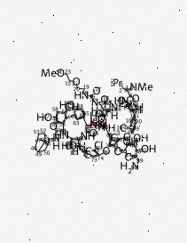 CN[C@H](CC(C)C)C(=O)N[C@H]1C(=O)N[C@@H](CC(=O)NC(=O)NCCOCCOC)C(=O)N[C@H]2C(=O)N[C@H]3C(=O)N[C@H](C(=O)N[C@H](C(=O)NC4C5CC6CC(C5)CC4C6)c4cc(O)cc(C)c4-c4cc3ccc4O)[C@H](O)c3ccc(c(Cl)c3)Oc3cc2cc(c3O[C@@H]2O[C@H](CN)[C@@H](O)[C@H](O)[C@H]2O)Oc2ccc(cc2C)[C@H]1O